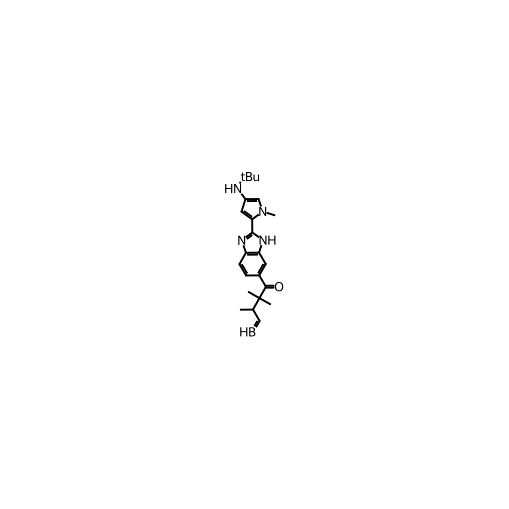 B=CC(C)C(C)(C)C(=O)c1ccc2nc(-c3cc(NC(C)(C)C)cn3C)[nH]c2c1